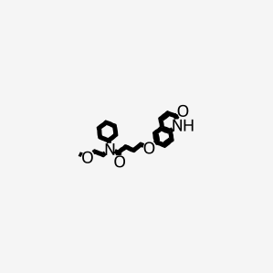 COCCN(C(=O)CCCOc1ccc2[nH]c(=O)ccc2c1)C1CCCCC1